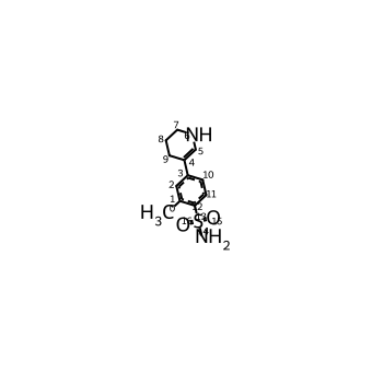 Cc1cc(C2=CNCCC2)ccc1S(N)(=O)=O